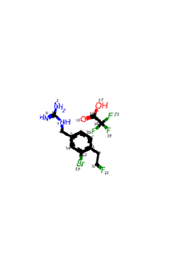 N=C(N)NCc1ccc(CCF)c(Br)c1.O=C(O)C(F)(F)F